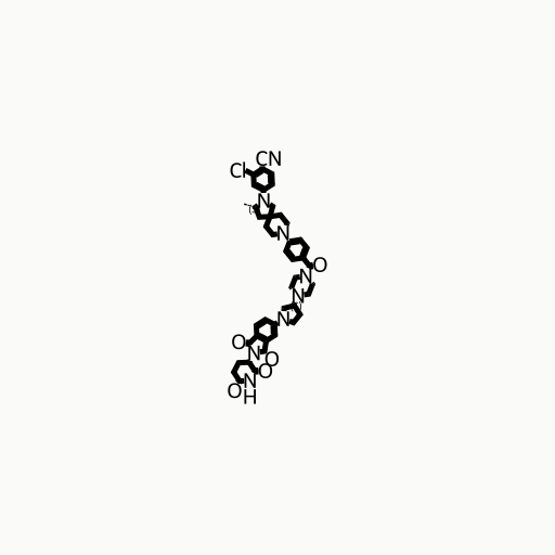 C[C@H]1CC2(CCN(c3ccc(C(=O)N4CCN([C@H]5CCN(c6ccc7c(c6)C(=O)N(C6CCC(=O)NC6=O)C7=O)C5)CC4)cc3)CC2)CN1c1ccc(C#N)c(Cl)c1